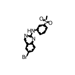 CS(=O)(=O)c1cccc(Nc2ncc3cc(Br)ccc3n2)c1